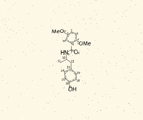 COc1ccc(OC)c(C(=O)NC(C)Cc2ccc(O)cc2)c1